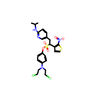 CC(C)Nc1ccc(CC(c2ccsc2[N+](=O)[O-])S(=O)(=O)Oc2ccc(N(CCCl)CCCl)cc2)cn1